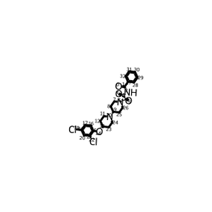 O=C(NS(=O)(=O)N1CCC(N2CCC(Oc3ccc(Cl)cc3Cl)CC2)CC1)c1ccccc1